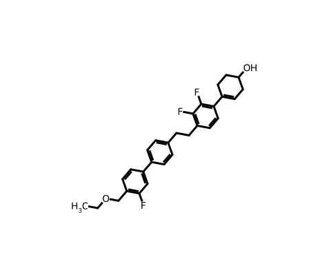 CCOCc1ccc(-c2ccc(CCc3ccc(C4=CCC(O)CC4)c(F)c3F)cc2)cc1F